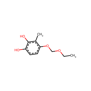 CCOCOc1ccc(O)c(O)c1C